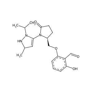 CC1C=C(N2C(=O)CC[C@H]2COc2cccc(O)c2C=O)N(C(C)C)N1